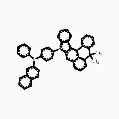 CC1(C)c2ccccc2-c2c3c1cccc3cc1c2c2ccccc2n1-c1ccc(N(c2ccccc2)c2ccc3ccccc3c2)cc1